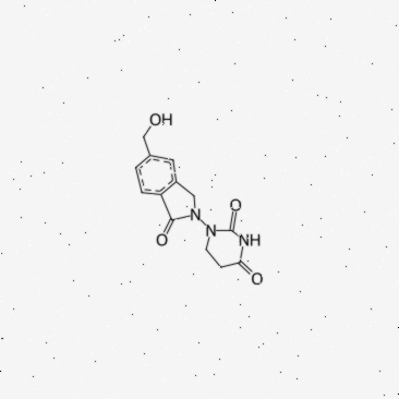 O=C1CCN(N2Cc3cc(CO)ccc3C2=O)C(=O)N1